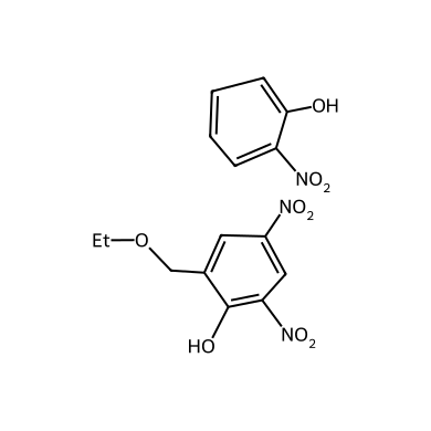 CCOCc1cc([N+](=O)[O-])cc([N+](=O)[O-])c1O.O=[N+]([O-])c1ccccc1O